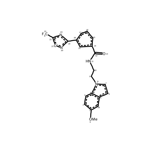 COc1ccc2c(ccn2CCNC(=O)c2cccc(-c3noc(C(F)(F)F)n3)c2)c1